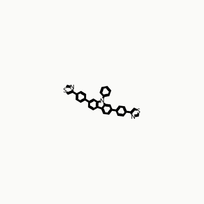 c1ccc(-n2c3cc(-c4ccc(-c5cscn5)cc4)ccc3c3ccc(-c4ccc(-c5cscn5)cc4)cc32)cc1